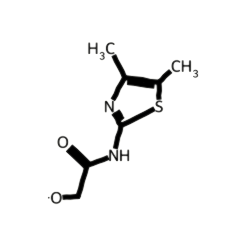 Cc1nc(NC(=O)C[O])sc1C